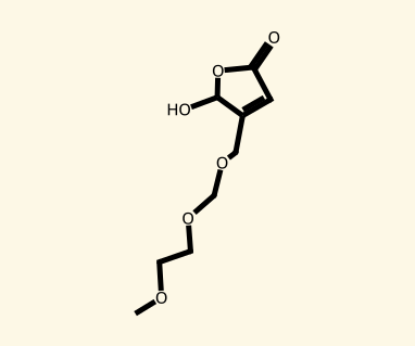 COCCOCOCC1=CC(=O)OC1O